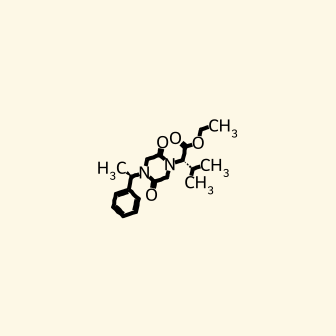 CCOC(=O)[C@H](C(C)C)N1CC(=O)N([C@H](C)c2ccccc2)CC1=O